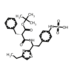 CCc1csc([C@H](Cc2ccc(NS(=O)(=O)O)cc2)NC(=O)[C@H](Cc2ccccc2)C(=O)OC(C)(C)C)n1